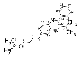 CC(C)OCCCCc1ccc2nc(-c3ccccc3)c(C(C)C)nc2c1